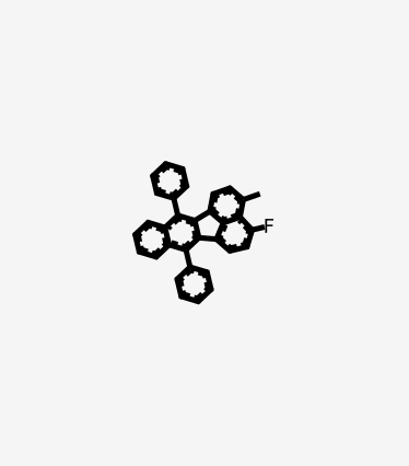 Cc1ccc2c3c(ccc(F)c13)-c1c-2c(-c2ccccc2)c2ccccc2c1-c1ccccc1